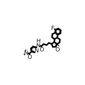 CN(C)C(=O)c1ccc(NC(=O)CCCC2CC(=O)[C@@]3(C)CCC4c5cccc(F)c5CCC4C23)nc1